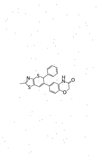 Cc1nc2c(s1)C=C(c1ccc3c(c1)NC(=O)CO3)C(c1ccccc1)S2